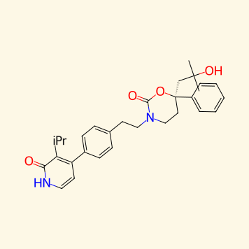 CC(C)c1c(-c2ccc(CCN3CC[C@](CC(C)(C)O)(c4ccccc4)OC3=O)cc2)cc[nH]c1=O